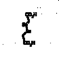 O=C(O)C[Se][Se]CC(=O)O